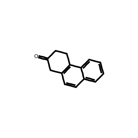 O=C1CCc2c(ccc3ccccc23)C1